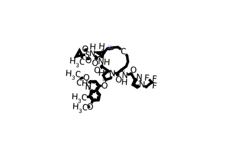 COc1ccc2c(O[C@@H]3C[C@H]4C(=O)N[C@]5(C(=O)NS(=O)(=O)C6(C)CC6)C[C@H]5/C=C\CCCCC[C@H](NC(=O)c5ccn(CC(F)(F)F)n5)C(=O)N4C3)cc(OC(C)C)nc2c1C